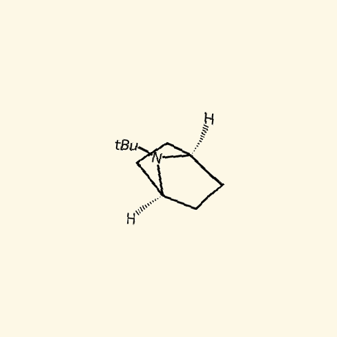 CC(C)(C)N1[C@H]2CC[C@@H]1CC2